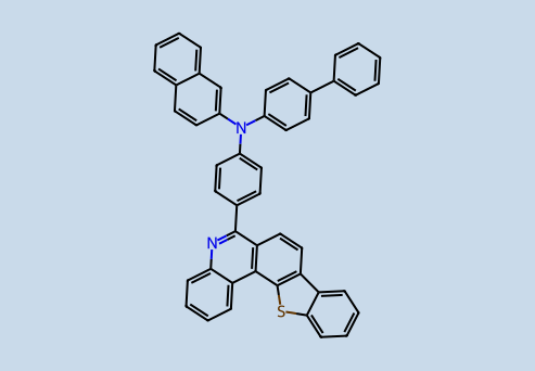 c1ccc(-c2ccc(N(c3ccc(-c4nc5ccccc5c5c4ccc4c6ccccc6sc45)cc3)c3ccc4ccccc4c3)cc2)cc1